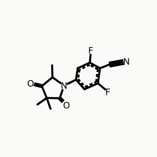 CC1C(=O)C(C)(C)C(=O)N1c1cc(F)c(C#N)c(F)c1